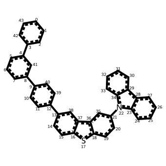 c1ccc(-c2cccc(-c3ccc(-c4ccc5sc6ccc(-n7c8ccccc8c8ccccc87)cc6c5c4)cc3)c2)cc1